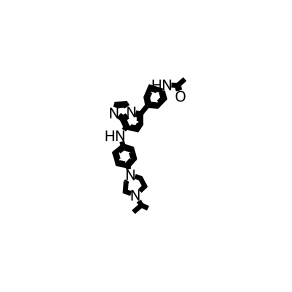 CC(=O)Nc1ccc(-c2ccc(Nc3ccc(N4CCN(C(C)C)CC4)cc3)c3nccn23)cc1